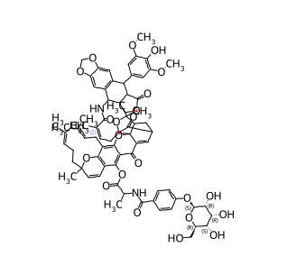 COc1cc(C2c3cc4c(cc3C(NC(=O)/C(C)=C\CC35OC(C)(C)C6CC(C=C7C(=O)c8c(OC(=O)C(C)NC(=O)c9ccc(O[C@@H]%10O[C@H](CO)[C@@H](O)[C@@H](O)[C@H]%10O)cc9)c9c(c(CC=C(C)C)c8OC763)OC(C)(CCC=C(C)C)C=C9)C5=O)C3COC(=O)C23)OCO4)cc(OC)c1O